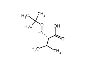 CC(C)[C@H](NOC(C)(C)C)C(=O)O